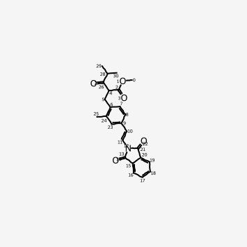 COC(=O)C(Cc1ccc(C=CN2C(=O)c3ccccc3C2=O)cc1C)C(=O)C(C)C